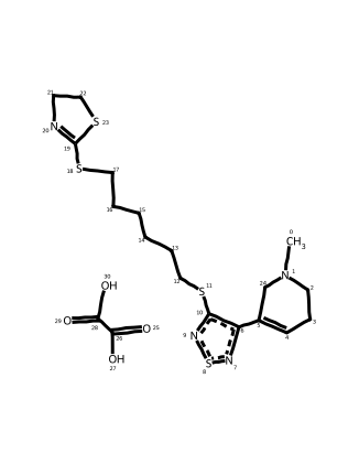 CN1CCC=C(c2nsnc2SCCCCCCSC2=NCCS2)C1.O=C(O)C(=O)O